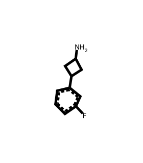 NC1CC(c2cccc(F)c2)C1